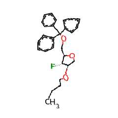 CCCCO[C@@H]1CO[C@H](COC(c2ccccc2)(c2ccccc2)c2ccccc2)[C@H]1F